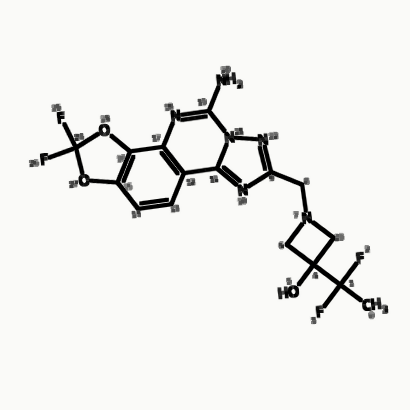 CC(F)(F)C1(O)CN(Cc2nc3c4ccc5c(c4nc(N)n3n2)OC(F)(F)O5)C1